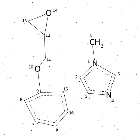 Cn1ccnc1.c1ccc(OCC2CO2)cc1